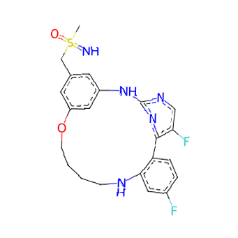 CS(=N)(=O)Cc1cc2cc(c1)OCCCCNc1cc(F)ccc1-c1nc(ncc1F)N2